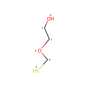 OCCOCS